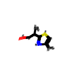 Cc1csc(C(CO)[N+](=O)[O-])n1